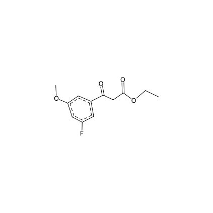 CCOC(=O)CC(=O)c1cc(F)cc(OC)c1